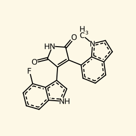 Cn1ccc2cccc(C3=C(c4c[nH]c5cccc(F)c45)C(=O)NC3=O)c21